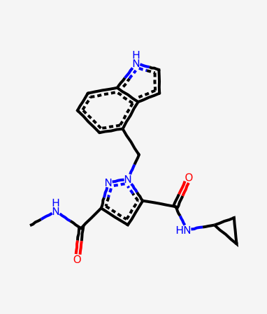 CNC(=O)c1cc(C(=O)NC2CC2)n(Cc2cccc3[nH]ccc23)n1